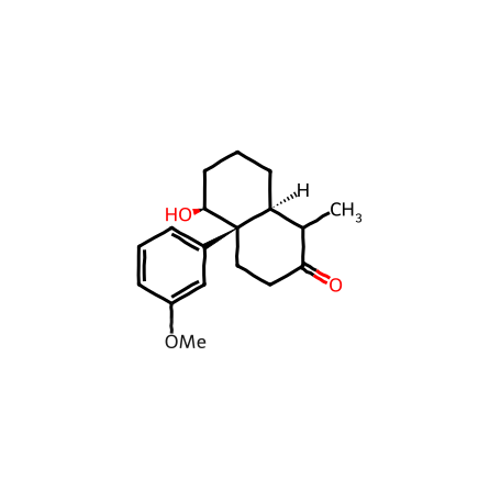 COc1cccc([C@]23CCC(=O)C(C)[C@@H]2CCC[C@@H]3O)c1